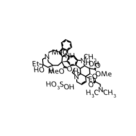 CC[C@]1(O)C[C@H]2C[N@](CCc3c([nH]c4ccccc34)[C@@](C(=O)OC)(c3cc4c(cc3OC)N(C)[C@H]3[C@@](O)(C(=O)OC)[C@H](OC(=O)CN(C)C)[C@]5(CC)C=CCN6CC[C@]43[C@@H]65)C2)C1.O=S(=O)(O)O